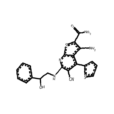 N#Cc1c(NCC(O)c2ccccc2)nc2sc(C(N)=O)c(N)c2c1-c1cccs1